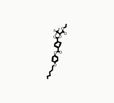 CCCCCCOc1ccc(OC(=O)c2ccc(C(=O)OC(C(=O)OCC)C(F)(F)F)cc2)cc1